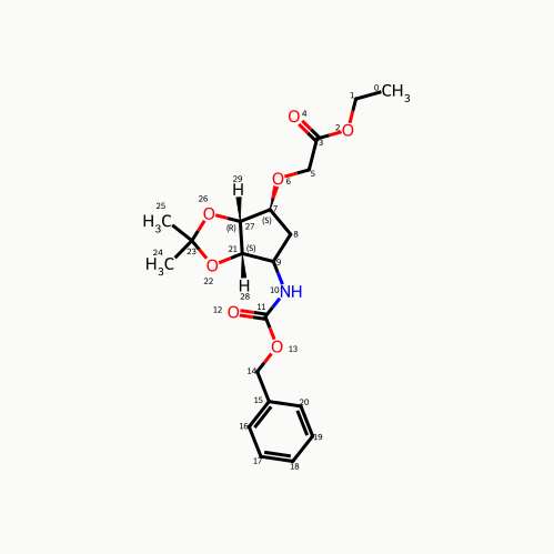 CCOC(=O)CO[C@H]1CC(NC(=O)OCc2ccccc2)[C@@H]2OC(C)(C)O[C@H]12